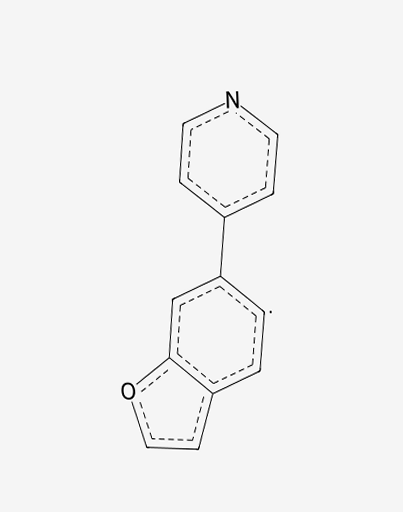 [c]1cc2ccoc2cc1-c1ccncc1